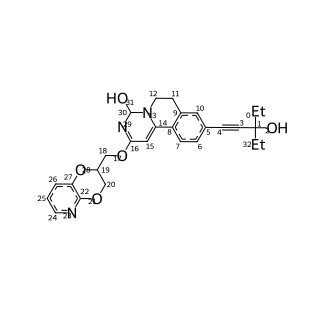 CCC(O)(C#Cc1ccc2c(c1)CCN1C2=CC(OCC2COc3ncccc3O2)=NC1O)CC